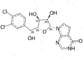 O=c1[nH]cnc2c1ccn2[C@@H]1O[C@H]([C@H](O)c2ccc(Cl)c(Cl)c2)[C@@H](O)[C@H]1O